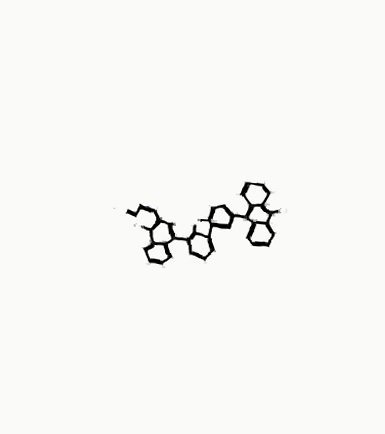 C=C/C=C\c1c(C)c(-c2cccc3c2oc2ccc(-c4c5ccccc5c(N)c5ccccc45)cc23)c2ccccc2c1N=O